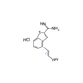 CCC/C=C/c1cccc2sc(C(=N)N)cc12.Cl